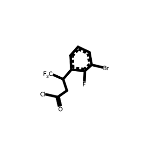 O=C(Cl)CC(c1cccc(Br)c1F)C(F)(F)F